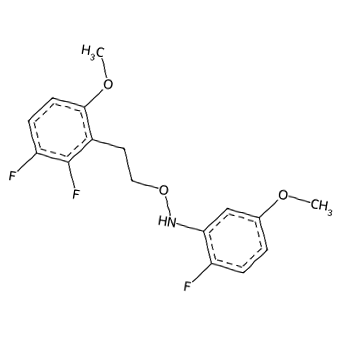 COc1ccc(F)c(NOCCc2c(OC)ccc(F)c2F)c1